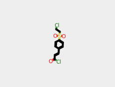 O=C(Cl)C=Cc1ccc(S(=O)(=O)CCCl)cc1